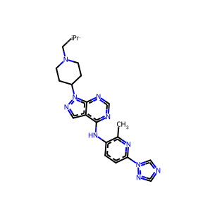 C[C](C)CN1CCC(n2ncc3c(Nc4ccc(-n5cncn5)nc4C)ncnc32)CC1